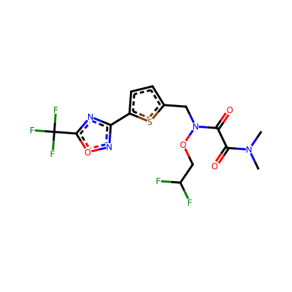 CN(C)C(=O)C(=O)N(Cc1ccc(-c2noc(C(F)(F)F)n2)s1)OCC(F)F